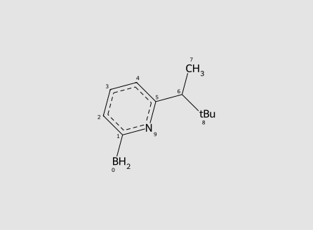 Bc1cccc(C(C)C(C)(C)C)n1